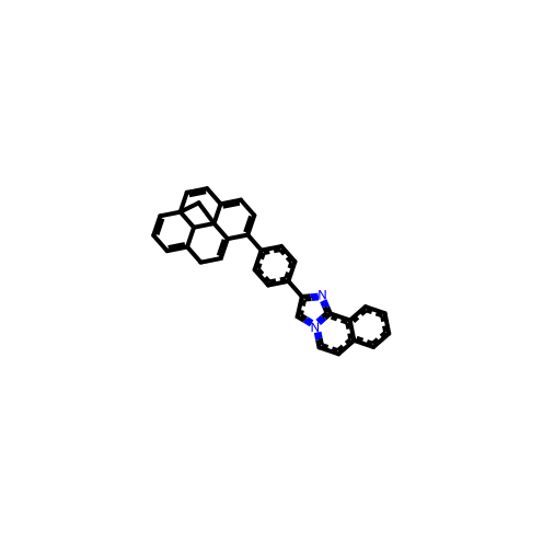 C1=CC23C=CC4=CC=C(c5ccc(-c6cn7ccc8ccccc8c7n6)cc5)C5=CCC(=C1)C2C45C3